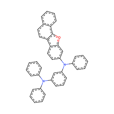 c1ccc(N(c2ccccc2)c2cccc(N(c3ccccc3)c3ccc4c(c3)oc3c5ccccc5ccc43)c2)cc1